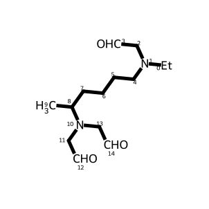 CCN(CC=O)CCCCC(C)N(CC=O)CC=O